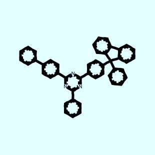 c1ccc(-c2ccc(-c3nc(-c4ccccc4)nc(-c4ccc(C5(c6ccccc6)c6ccccc6-c6ccccc65)cc4)n3)cc2)cc1